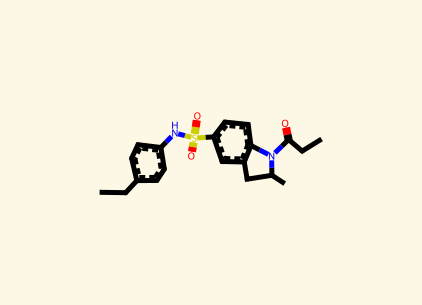 CCC(=O)N1c2ccc(S(=O)(=O)Nc3ccc(CC)cc3)cc2CC1C